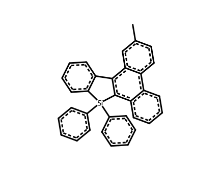 Cc1ccc2c(c1)c1c(c3ccccc32)[Si](c2ccccc2)(c2ccccc2)c2ccccc2-1